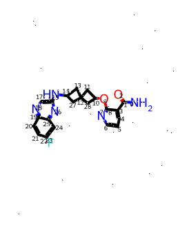 NC(=O)c1cccnc1OC1CC2(CC(Nc3cnc4ccc(F)cc4n3)C2)C1